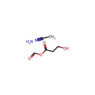 CC#N.N.O=COC(=O)CCO